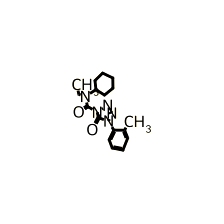 CCN(C(=O)n1nnn(-c2ccccc2C)c1=O)C1CCCCC1